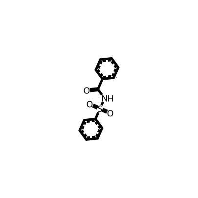 O=C(NS(=O)(=O)c1ccccc1)c1[c]cccc1